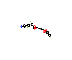 CC/C(=C\C=C(\c1ccc(-c2ccc(C#N)cc2)c(F)c1)C(C)F)OC(=O)CCCCCCCC(=O)Oc1ccc(-c2ccc(F)cc2)c(F)c1